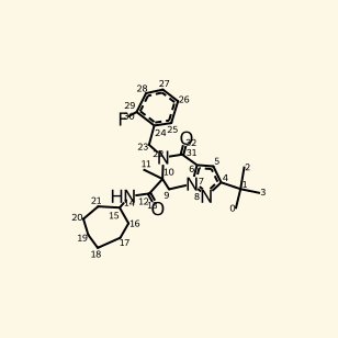 CC(C)(C)c1cc2n(n1)CC(C)(C(=O)NC1CCCCCC1)N(Cc1ccccc1F)C2=O